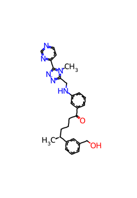 C[C@@H](CCCC(=O)c1cccc(NCc2nnc(-c3ccncn3)n2C)c1)c1cccc(CO)c1